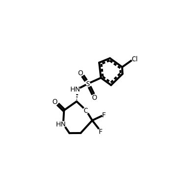 O=C1NCCC(F)(F)C[C@H]1NS(=O)(=O)c1ccc(Cl)cc1